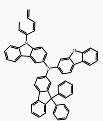 C=C/C=C\C(=C/C)n1c2ccccc2c2cc(N(c3ccc4c(c3)C(c3ccccc3)(c3ccccc3)c3ccccc3-4)c3ccc4c(c3)oc3ccccc34)ccc21